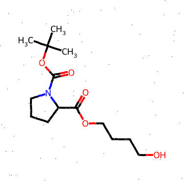 CC(C)(C)OC(=O)N1CCCC1C(=O)OCCCCO